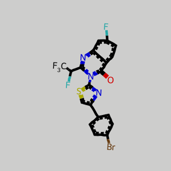 O=c1c2ccc(F)cc2nc(C(F)C(F)(F)F)n1-c1nc(-c2ccc(Br)cc2)cs1